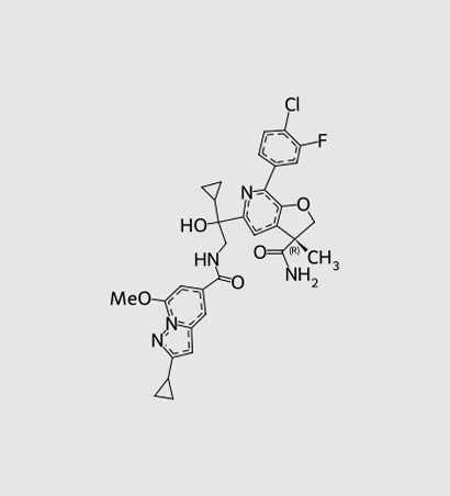 COc1cc(C(=O)NCC(O)(c2cc3c(c(-c4ccc(Cl)c(F)c4)n2)OC[C@]3(C)C(N)=O)C2CC2)cc2cc(C3CC3)nn12